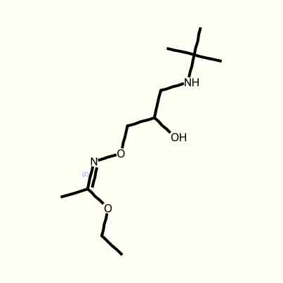 CCO/C(C)=N\OCC(O)CNC(C)(C)C